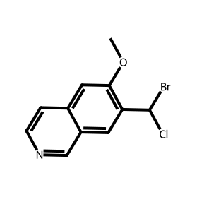 COc1cc2ccncc2cc1C(Cl)Br